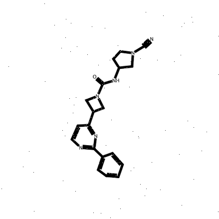 N#CN1CCC(NC(=O)N2CC(c3ccnc(-c4ccccc4)n3)C2)C1